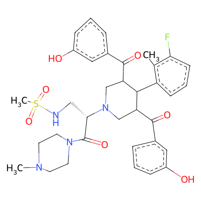 Cc1c(F)cccc1C1C(C(=O)c2cccc(O)c2)CN([C@@H](CNS(C)(=O)=O)C(=O)N2CCN(C)CC2)CC1C(=O)c1cccc(O)c1